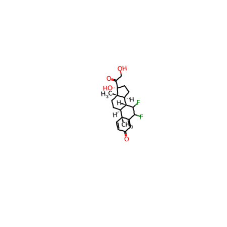 C[C@]12C=CC(=O)C=C1C(F)C(F)[C@@H]1[C@@H]2CC[C@@]2(C)[C@H]1CC[C@]2(O)C(=O)CO